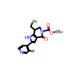 CC(C)CC1CN(C(=O)OC(C)(C)C)C(=O)c2cc(-c3ccncc3F)[nH]c21